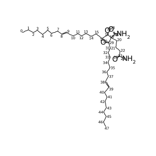 CCCCCCCCC=CCCCCCCCC(=O)C(CCCC(N)=O)(C(N)=O)C(=O)CCCCCCCC=CCCCCCCCC